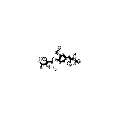 COC(=Cc1ccc(OCC(O)C(N)C(C)C)c(OC)c1)NC=O